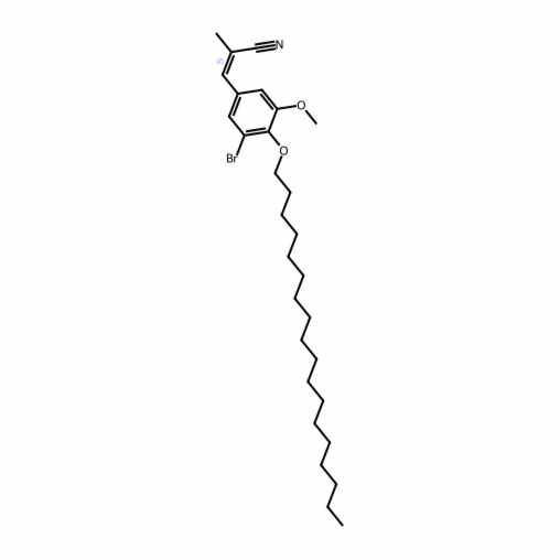 CCCCCCCCCCCCCCCCCCOc1c(Br)cc(/C=C(/C)C#N)cc1OC